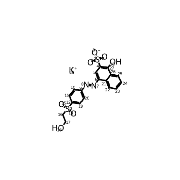 O=S(=O)([O-])c1cc(/N=N/c2ccc(S(=O)(=O)CCO)cc2)c2ccccc2c1O.[K+]